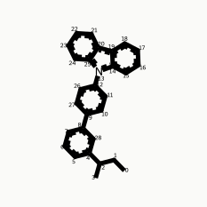 CCC(C)c1cccc(-c2ccc(-n3c4ccccc4c4ccccc43)cc2)c1